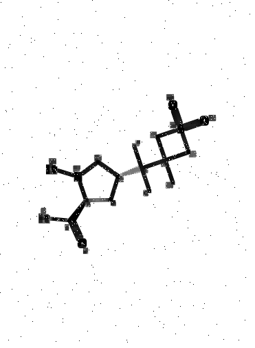 CCC(=O)[C@@H]1C[C@@H](C(C)(C)C2(C)CS(=O)(=O)C2)CN1CC